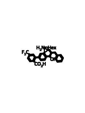 CCCCCCN.O=C(O)c1ccc(C(F)(F)F)cc1-c1ccc2c(c1)OCC(Cc1ccccc1)C2O